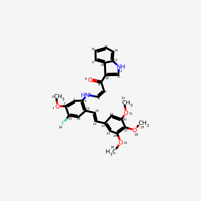 COc1cc(N/C=C\C(=O)c2c[nH]c3ccccc23)c(/C=C/c2cc(OC)c(OC)c(OC)c2)cc1F